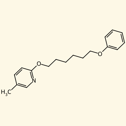 Cc1ccc(OCCCCCCOc2ccccc2)nc1